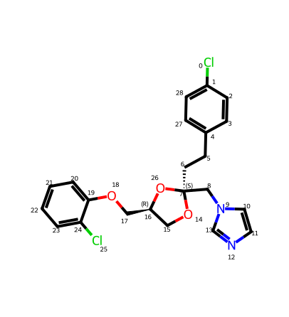 Clc1ccc(CC[C@]2(Cn3ccnc3)OC[C@@H](COc3ccccc3Cl)O2)cc1